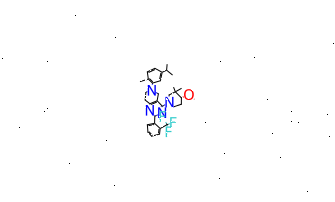 CO[C@H]1CCN(c2nc(-c3ccccc3C(F)(F)F)nc3c2CN(c2cc(C(C)C)ccc2C)CC3)CC1(C)C